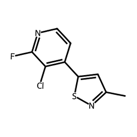 Cc1cc(-c2ccnc(F)c2Cl)sn1